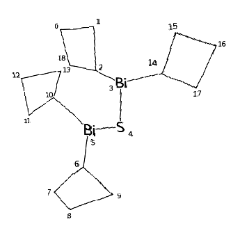 C1C[CH]([Bi]([S][Bi]([CH]2CCC2)[CH]2CCC2)[CH]2CCC2)C1